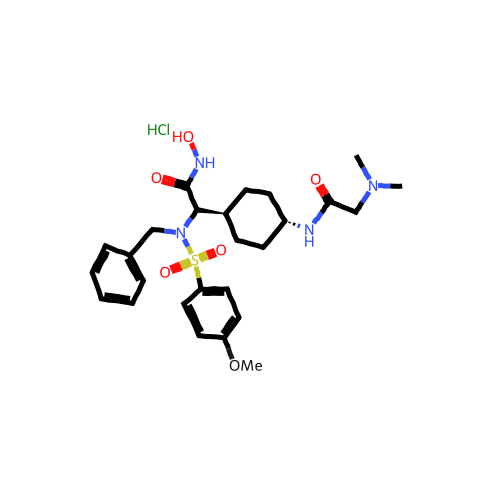 COc1ccc(S(=O)(=O)N(Cc2ccccc2)C(C(=O)NO)[C@H]2CC[C@H](NC(=O)CN(C)C)CC2)cc1.Cl